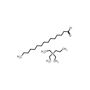 CCCCCCCCCCCCCCC(=O)[O-].CCC[N+](CC)(CC)CC